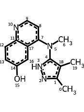 Cc1n[nH]c(N(C)c2ccnc3ccc(O)cc23)c1C